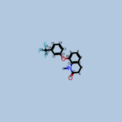 CN1C(=O)CCc2cccc(Oc3cccc(C(F)(F)F)c3)c21